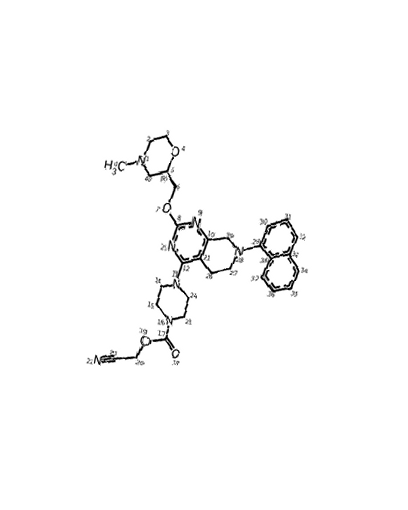 CN1CCO[C@@H](COc2nc3c(c(N4CCN(C(=O)OCC#N)CC4)n2)CCN(c2cccc4ccccc24)C3)C1